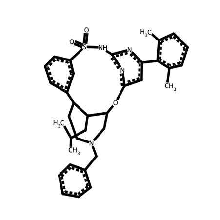 Cc1cccc(C)c1-c1cc2nc(n1)NS(=O)(=O)c1cccc(c1)C1CCN(Cc3ccccc3)CC(O2)C1CC(C)C